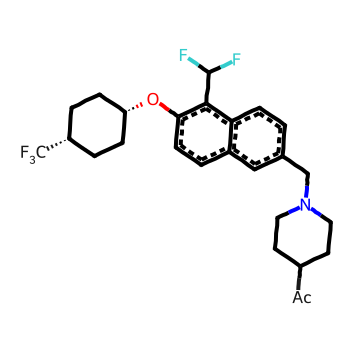 CC(=O)C1CCN(Cc2ccc3c(C(F)F)c(O[C@H]4CC[C@@H](C(F)(F)F)CC4)ccc3c2)CC1